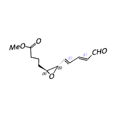 COC(=O)CCC[C@@H]1O[C@H]1/C=C/C=C/C=O